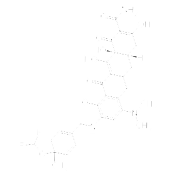 CN(C)c1cc(NCC2=CCC(C)(OC(F)F)C=C2)c(O)c2c1CC1C[C@H]3CC(O)=C(C(N)=O)C(=O)[C@@]3(O)C(O)=C1C2=O